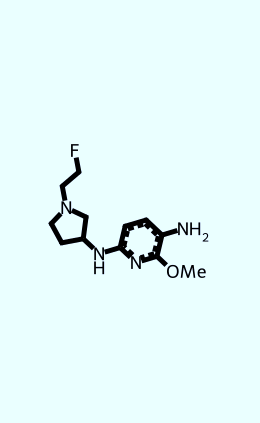 COc1nc(NC2CCN(CCF)C2)ccc1N